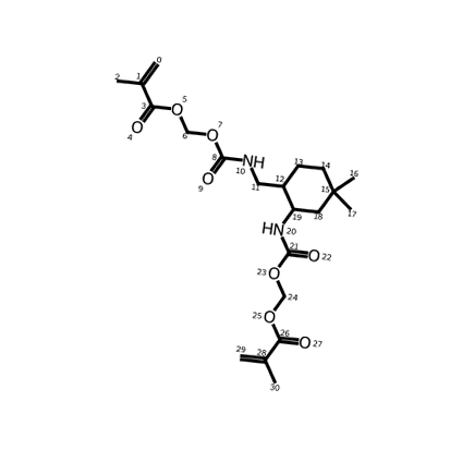 C=C(C)C(=O)OCOC(=O)NCC1CCC(C)(C)CC1NC(=O)OCOC(=O)C(=C)C